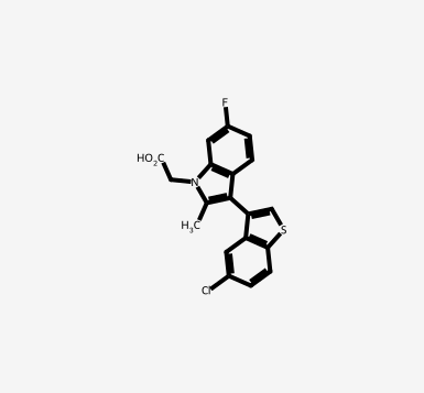 Cc1c(-c2csc3ccc(Cl)cc23)c2ccc(F)cc2n1CC(=O)O